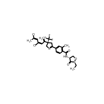 C=C(/C=C(Cl)\C=C(/C)Cl)[C@@]1(C(F)(F)F)CN=C(c2ccc(C(=O)N[C@@H]3CON(CC)C3=O)c(C)c2)C1